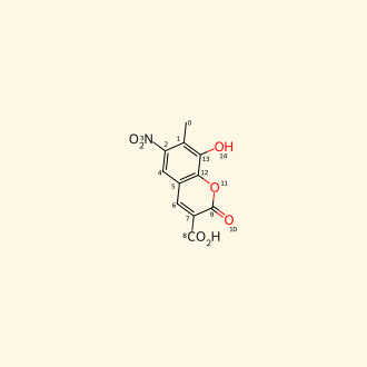 Cc1c([N+](=O)[O-])cc2cc(C(=O)O)c(=O)oc2c1O